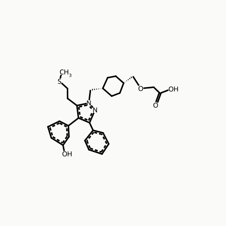 CSCCc1c(-c2cccc(O)c2)c(-c2ccccc2)nn1C[C@H]1CC[C@@H](COCC(=O)O)CC1